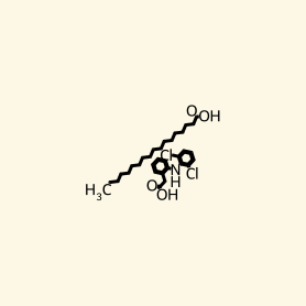 CCCCCCCCCCCCCCCCCC(=O)O.O=C(O)Cc1ccccc1Nc1c(Cl)cccc1Cl